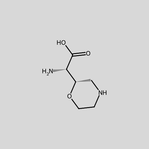 N[C@H](C(=O)O)[C@@H]1CNCCO1